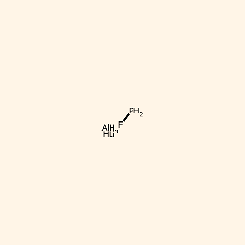 FP.[AlH3].[LiH]